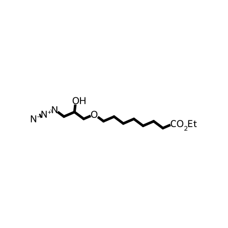 CCOC(=O)CCCCCCCOCC(O)CN=[N+]=[N-]